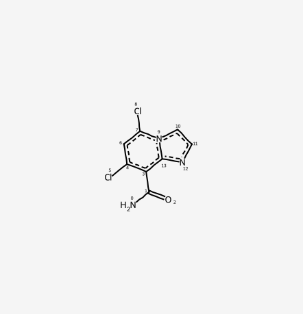 NC(=O)c1c(Cl)cc(Cl)n2ccnc12